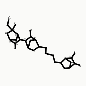 CC1C2CC(CCCCC3CC4CC3C(C)C4C3C(C)C4CC3C(C)(CBr)C4)C(C2)C1C